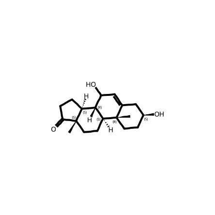 C[C@]12CC[C@H](O)CC1=CC(O)[C@@H]1[C@@H]2CC[C@]2(C)C(=O)CC[C@@H]12